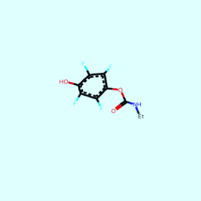 CCNC(=O)Oc1c(F)c(F)c(O)c(F)c1F